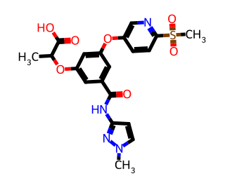 CC(Oc1cc(Oc2ccc(S(C)(=O)=O)nc2)cc(C(=O)Nc2ccn(C)n2)c1)C(=O)O